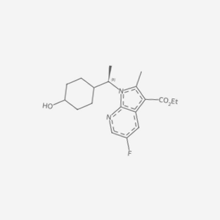 CCOC(=O)c1c(C)n([C@H](C)C2CCC(O)CC2)c2ncc(F)cc12